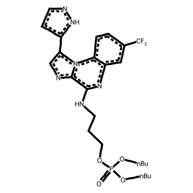 CCCCOP(=O)(OCCCC)OCCCNc1nc2cc(C(F)(F)F)ccc2n2c(-c3ccn[nH]3)cnc12